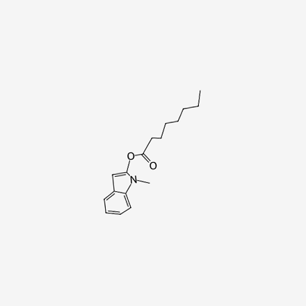 CCCCCCCC(=O)Oc1cc2ccccc2n1C